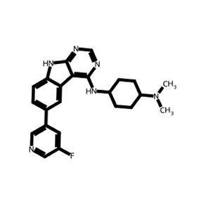 CN(C)C1CCC(Nc2ncnc3[nH]c4ccc(-c5cncc(F)c5)cc4c23)CC1